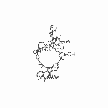 CCn1c(-c2cccnc2[C@H](C)OC)c2c3cc(ccc31)-c1cc(O)cc(c1)C[C@H](NC(=O)[C@H](C(C)C)N(C)C(=O)[C@H]1CC1(F)F)C(=O)N1CCC[C@H](N1)C(=O)OCC(C)(C)C2